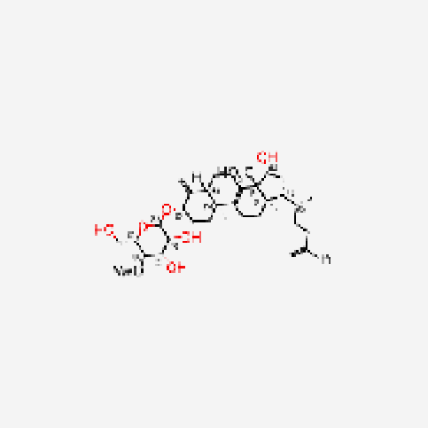 C=C(CC[C@@H](C)[C@H]1C[C@@H](O)[C@@]2(C(=O)O)C3=C(CC[C@]12C)[C@@]1(C)CC[C@H](O[C@@H]2O[C@@H](CO)[C@H](OC)[C@@H](O)[C@@H]2O)C(=C)[C@@H]1CC3)C(C)C